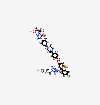 CC[C@@H]([C@H](C)O)n1ncn(-c2ccc(N3CCN(c4ccc(OC[C@@H]5CO[C@@](Cn6c[n+](CC(=O)O)cn6)(c6ccc(F)cc6F)C5)cc4)CC3)cc2)c1=O